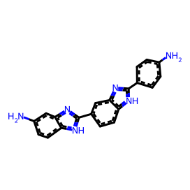 Nc1ccc(-c2nc3cc(-c4nc5cc(N)ccc5[nH]4)ccc3[nH]2)cc1